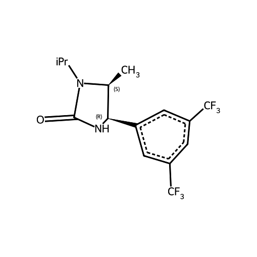 CC(C)N1C(=O)N[C@H](c2cc(C(F)(F)F)cc(C(F)(F)F)c2)[C@@H]1C